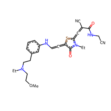 CCN(CCOC)CCc1cccc(NC=C=c2sc(=C=C(C#N)C(=O)NCC#N)n(CC)c2=O)c1